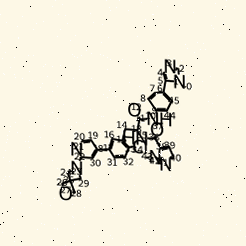 Cn1cncc1-c1ccc(NC(=O)C(Cc2cc(-c3ccnc(N4CC5(COC5)C4)c3)ccc2Cl)NC(=O)c2ccnn2C)cc1